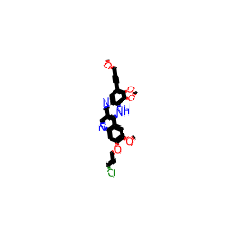 COCC#Cc1ccc(Nc2c(C#N)cnc3cc(OCCCCl)c(OC)cc23)c2c1OCO2